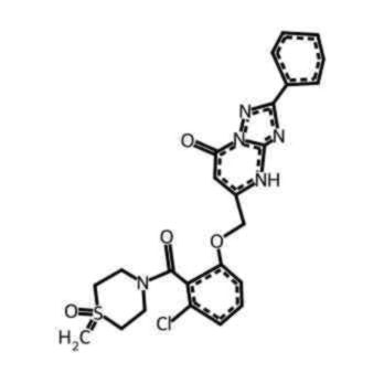 C=S1(=O)CCN(C(=O)c2c(Cl)cccc2OCc2cc(=O)n3nc(-c4ccccc4)nc3[nH]2)CC1